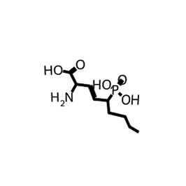 CCCCC(C=CC(N)C(=O)O)P(=O)(O)O